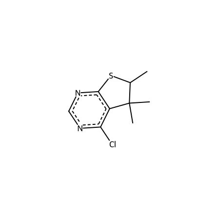 CC1Sc2ncnc(Cl)c2C1(C)C